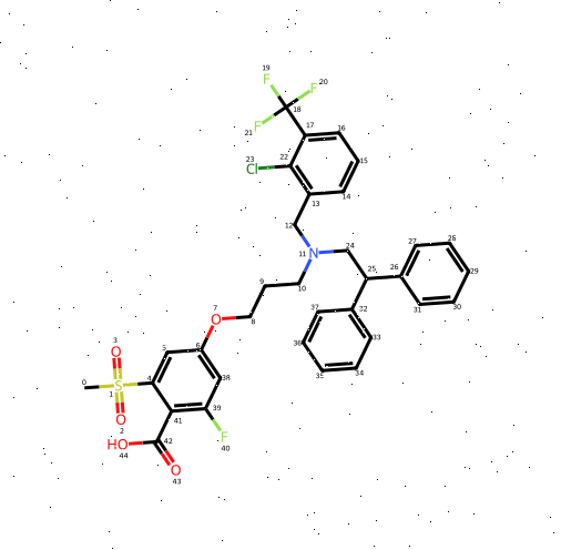 CS(=O)(=O)c1cc(OCCCN(Cc2cccc(C(F)(F)F)c2Cl)CC(c2ccccc2)c2ccccc2)cc(F)c1C(=O)O